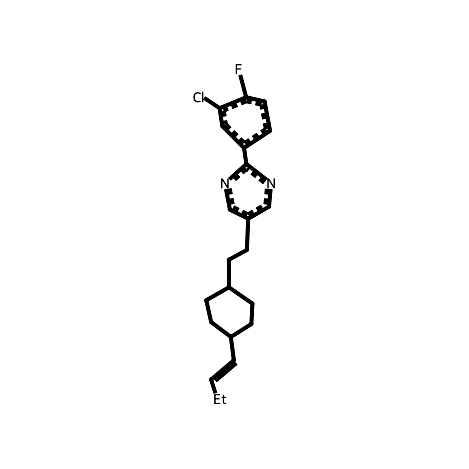 CCC=CC1CCC(CCc2cnc(-c3ccc(F)c(Cl)c3)nc2)CC1